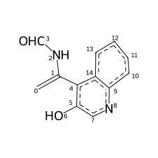 C=C(NC=O)c1c(O)cnc2ccccc12